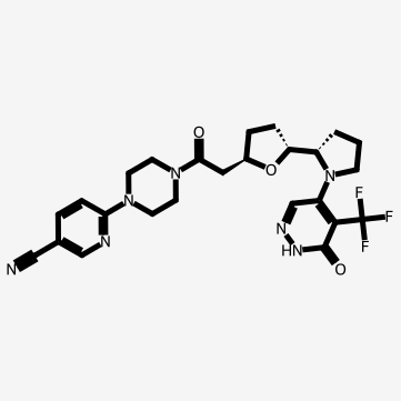 N#Cc1ccc(N2CCN(C(=O)C[C@H]3CC[C@H]([C@@H]4CCCN4c4cn[nH]c(=O)c4C(F)(F)F)O3)CC2)nc1